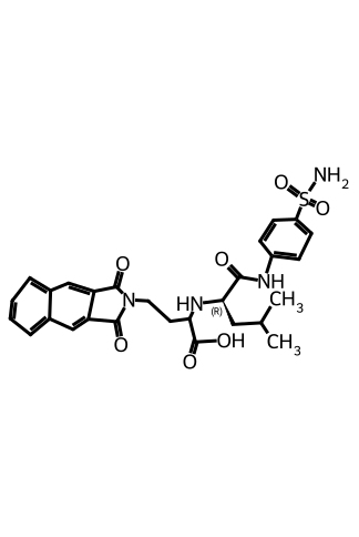 CC(C)C[C@@H](NC(CCN1C(=O)c2cc3ccccc3cc2C1=O)C(=O)O)C(=O)Nc1ccc(S(N)(=O)=O)cc1